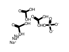 O=C(O)O.O=C(O)O.O=C(O)O.O=P([O-])([O-])[O-].[Na+].[Na+].[Na+]